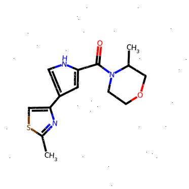 Cc1nc(-c2c[nH]c(C(=O)N3CCOCC3C)c2)cs1